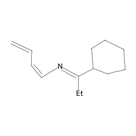 C=C/C=C\N=C(/CC)C1CCCCC1